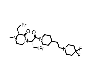 CC(C)C[C@H]1C(=O)N([C@@H](CC(C)C)C(=O)N2CCC(CCN3CCC(F)(F)CC3)CC2)CCN1C